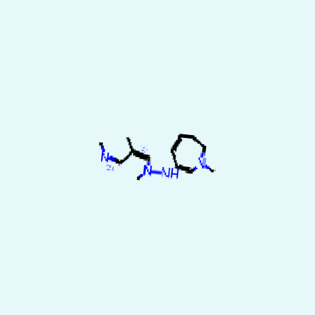 C/N=C\C(C)=C/N(C)NC1=CN(C)CCC=C1